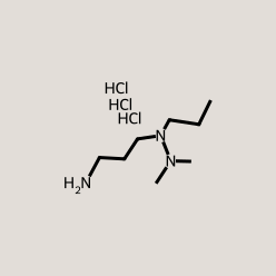 CCCN(CCCN)N(C)C.Cl.Cl.Cl